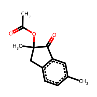 CC(=O)OC1(C)Cc2ccc(C)cc2C1=O